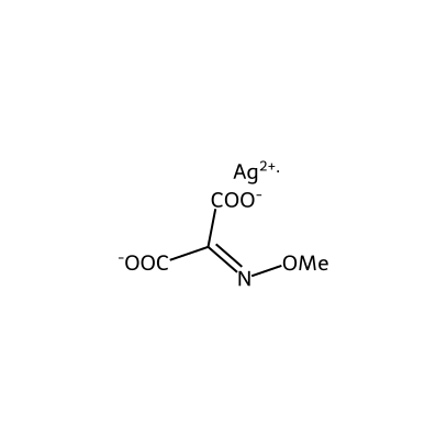 CON=C(C(=O)[O-])C(=O)[O-].[Ag+2]